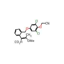 COC(C)=C(C(=O)O)c1ccccc1COc1cc(Cl)c(OCC#N)c(Cl)c1